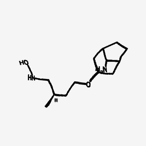 C[C@H](CCOC1CC2CCC(C1)C2N)CNO